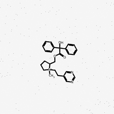 C[N+]1(CCc2cncnc2)CCCC1COC(=O)C(O)(c1ccccc1)c1ccccc1